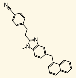 Cn1c(CCc2ccc(C#N)cc2)nc2cc(Cc3cccc4ccccc34)ccc21